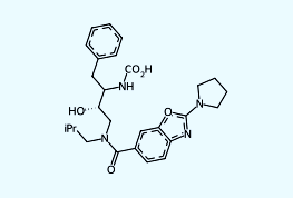 CC(C)CN(C[C@H](O)C(Cc1ccccc1)NC(=O)O)C(=O)c1ccc2nc(N3CCCC3)oc2c1